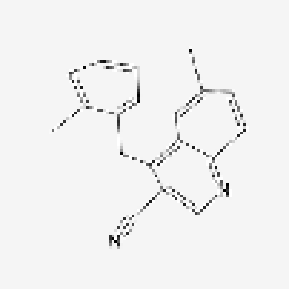 Cc1ccc2ncc(C#N)c(Cc3ccccc3C)c2c1